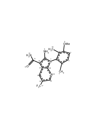 COc1ccc(C)c(-n2c(N)c(C(N)=O)c3cc(C(F)(F)F)cnc32)c1C